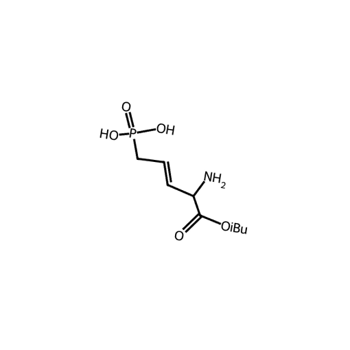 CC(C)COC(=O)C(N)C=CCP(=O)(O)O